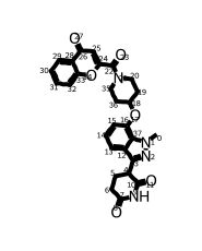 Cn1nc(C2CCC(=O)NC2=O)c2cccc(OC3CCN(C(=O)c4cc(=O)c5ccccc5o4)CC3)c21